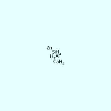 [AlH3].[CaH2].[SiH4].[Zn]